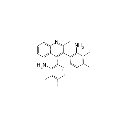 Cc1ccc(-c2c(C)nc3ccccc3c2-c2ccc(C)c(C)c2N)c(N)c1C